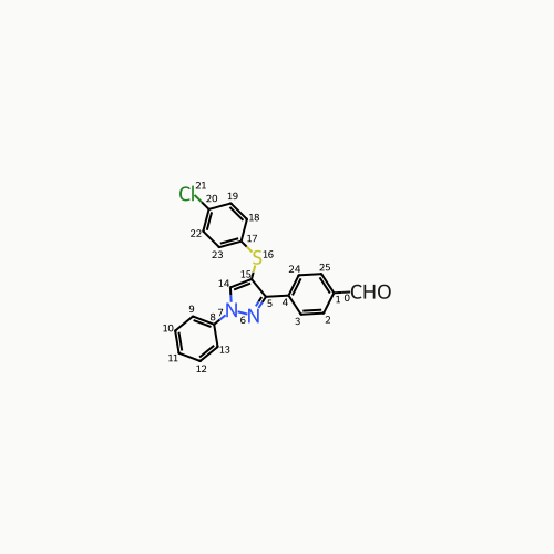 O=Cc1ccc(-c2nn(-c3ccccc3)cc2Sc2ccc(Cl)cc2)cc1